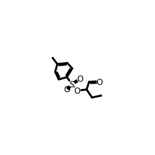 CCC(C=O)OS(=O)(=O)c1ccc(C)cc1